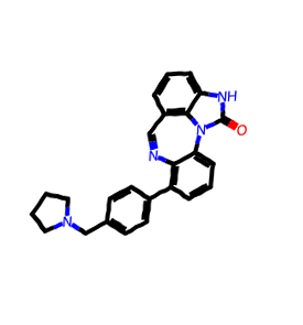 O=c1[nH]c2cccc3c2n1-c1cccc(-c2ccc(CN4CCCC4)cc2)c1N=C3